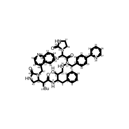 CCC(C)C(C(=O)NC(Cc1ccccc1)C(O)CNN(Cc1ccc(-c2ccccn2)cc1)C(=O)C(C(C)CC)N1CCNC1=O)C1CNC(=O)N1Cc1ccnc2ccccc12